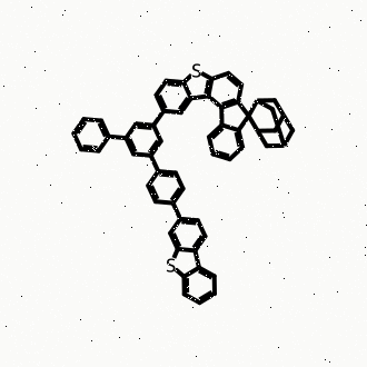 c1ccc(-c2cc(-c3ccc(-c4ccc5c(c4)sc4ccccc45)cc3)cc(-c3ccc4sc5ccc6c(c5c4c3)-c3ccccc3C63C4CC5CC(C4)CC3C5)c2)cc1